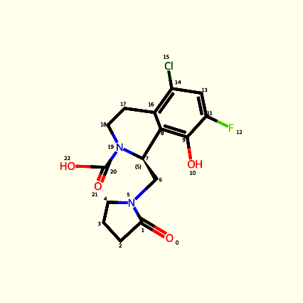 O=C1CCCN1C[C@@H]1c2c(O)c(F)cc(Cl)c2CCN1C(=O)O